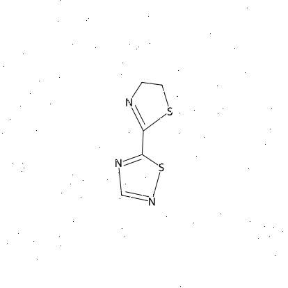 c1nsc(C2=NCCS2)n1